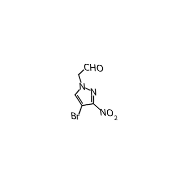 O=CCn1cc(Br)c([N+](=O)[O-])n1